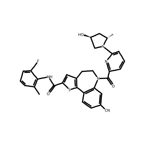 Cc1cccc(F)c1NC(=O)c1cc2c(s1)-c1ccc(C#N)cc1N(C(=O)c1cccc(N3C[C@@H](O)C[C@@H]3C)n1)CC2